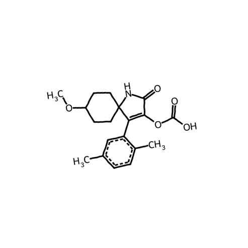 COC1CCC2(CC1)NC(=O)C(OC(=O)O)=C2c1cc(C)ccc1C